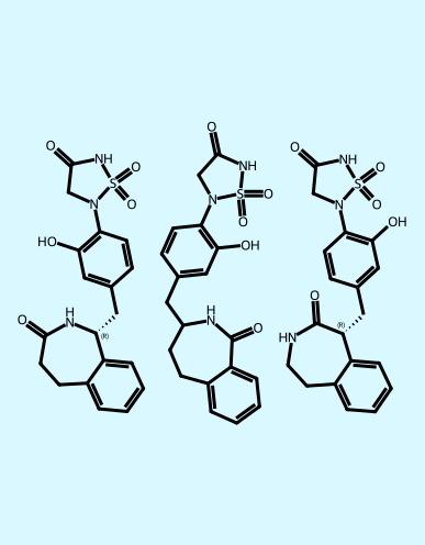 O=C1CCc2ccccc2[C@@H](Cc2ccc(N3CC(=O)NS3(=O)=O)c(O)c2)N1.O=C1CN(c2ccc(CC3CCc4ccccc4C(=O)N3)cc2O)S(=O)(=O)N1.O=C1CN(c2ccc(C[C@H]3C(=O)NCCc4ccccc43)cc2O)S(=O)(=O)N1